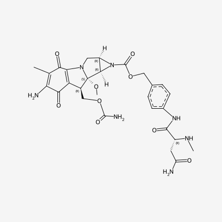 CN[C@H](CC(N)=O)C(=O)Nc1ccc(COC(=O)N2[C@@H]3CN4C5=C(C(=O)C(N)=C(C)C5=O)[C@H](COC(N)=O)[C@]4(OC)[C@@H]32)cc1